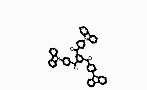 O=C(c1ccc(C2c3ccccc3-c3ccccc32)cc1)c1cc(C(=O)c2ccc(-n3c4ccccc4c4ccccc43)cc2)cc(C(=O)c2ccc(-n3c4ccccc4c4ccccc43)cc2)c1